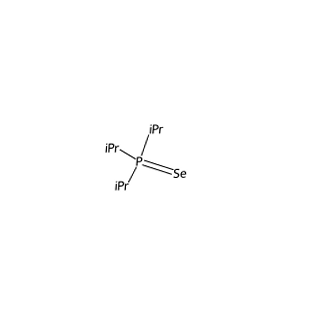 CC(C)P(=[Se])(C(C)C)C(C)C